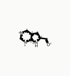 O=Cc1cc2cncnc2[nH]1